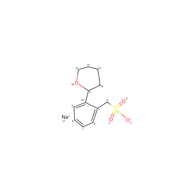 O=S(=O)([O-])Cc1ccccc1C1CCCCO1.[Na+]